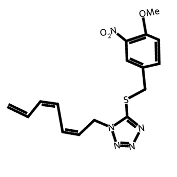 C=C/C=C\C=C/Cn1nnnc1SCc1ccc(OC)c([N+](=O)[O-])c1